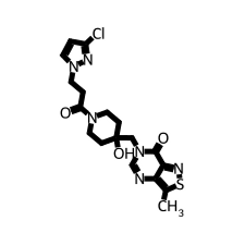 Cc1snc2c(=O)n(CC3(O)CCN(C(=O)CCn4ccc(Cl)n4)CC3)cnc12